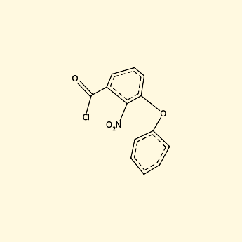 O=C(Cl)c1cccc(Oc2ccccc2)c1[N+](=O)[O-]